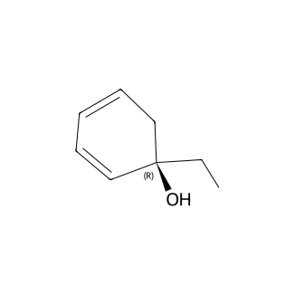 CC[C@]1(O)C=CC=CC1